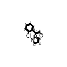 Clc1ccccc1-c1coc2ccnn12